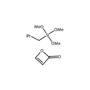 CO[Si](CC(C)C)(OC)OC.O=C1C=CO1